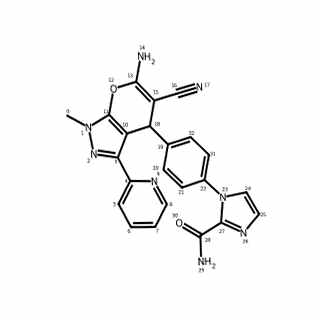 Cn1nc(-c2ccccn2)c2c1OC(N)=C(C#N)C2c1ccc(-n2ccnc2C(N)=O)cc1